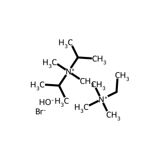 CC(C)[N+](C)(C)C(C)C.CC[N+](C)(C)C.[Br-].[OH-]